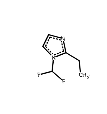 [CH2]Cc1nccn1C(F)F